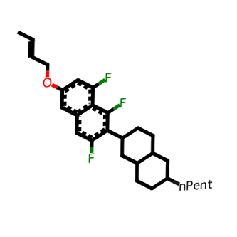 CC=CCOc1cc(F)c2c(F)c(C3CCC4CC(CCCCC)CCC4C3)c(F)cc2c1